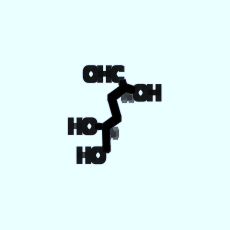 O=C[C@@H](O)CC[C@H](O)CO